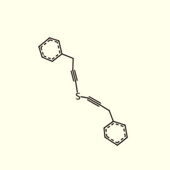 C(#CSC#CCc1ccccc1)Cc1ccccc1